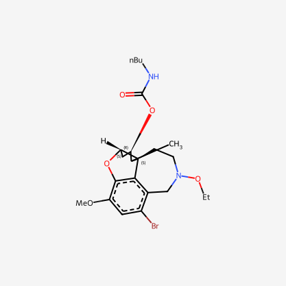 CCCCNC(=O)O[C@@H]1C[C@@H]2Oc3c(OC)cc(Br)c4c3[C@]2(CCN(OCC)C4)C1C